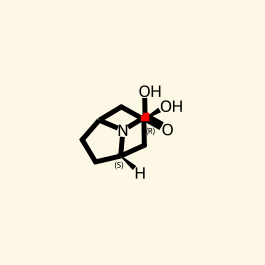 O=C(O)N1C2CC[C@H]1C[C@H](O)C2